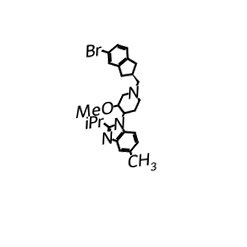 COC1CN(C[C@@H]2Cc3ccc(Br)cc3C2)CCC1n1c(C(C)C)nc2cc(C)ccc21